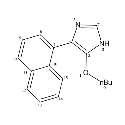 CCCCOc1[nH][c]nc1-c1cccc2ccccc12